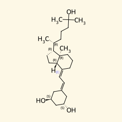 C[C@H](CCCC(C)(C)O)[C@H]1CC[C@H]2/C(=C/C=C3C[C@H](O)C[C@@H](O)C3)CCC[C@]12C